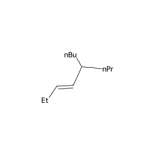 CCC=CC(CCC)CCCC